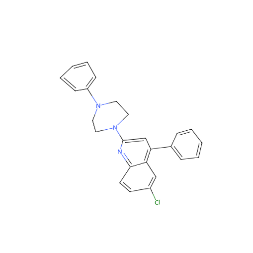 Clc1ccc2nc(N3CCN(c4ccccc4)CC3)cc(-c3ccccc3)c2c1